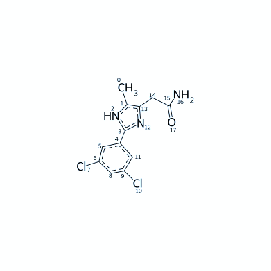 Cc1[nH]c(-c2cc(Cl)cc(Cl)c2)nc1CC(N)=O